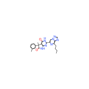 CCCCc1nc(-c2nc3c(c(=O)[nH]2)C(C)(c2cccc(C)c2)C(=O)N3)cn2ncnc12